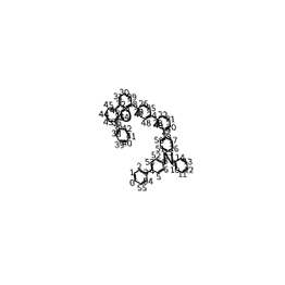 c1ccc(-c2ccc(N(c3ccccc3)c3ccc(-c4cccc(-c5ccc(-c6cccc7c6oc6c(-c8ccccc8)cccc67)cc5)c4)cc3)cc2)cc1